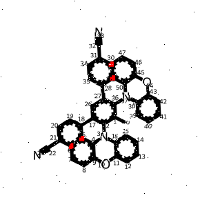 Cc1c(N2c3ccccc3Oc3ccccc32)c(-c2ccc(C#N)cc2)cc(-c2ccc(C#N)cc2)c1N1c2ccccc2Oc2ccccc21